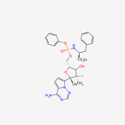 CCOC(=O)[C@H](Cc1ccccc1)NP(=O)(OC[C@H]1O[C@@](C#N)(c2ccc3c(N)ncnn23)[C@](C)(F)C1O)Oc1ccccc1